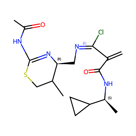 C=C(C(=O)N[C@@H](C)C1CC1)/C(Cl)=N\C[C@@H]1N=C(NC(C)=O)SCC1C